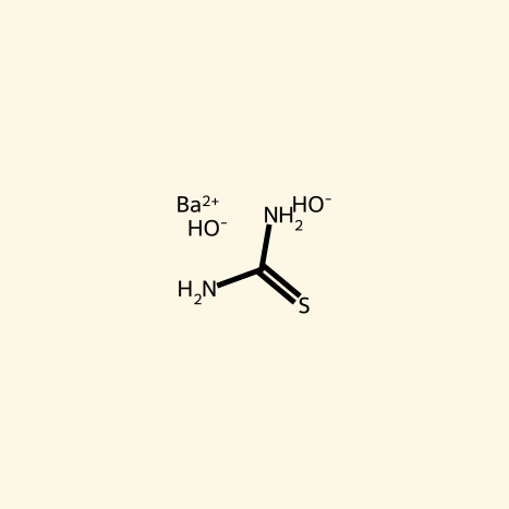 NC(N)=S.[Ba+2].[OH-].[OH-]